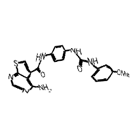 COc1cccc(NC(=O)Nc2ccc(NC(=O)c3csc4ncnc(N)c34)cc2)c1